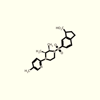 Cc1ccc(N2CCN(S(=O)(=O)c3ccc4c(c3)C(C(=O)O)CC4)[C@H](C)[C@@H]2C)nc1